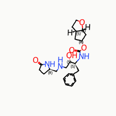 O=C1CC[C@H](CNC[C@H](O)[C@H](Cc2ccccc2)NC(=O)O[C@@H]2C[C@@H]3CCO[C@@H]3C2)N1